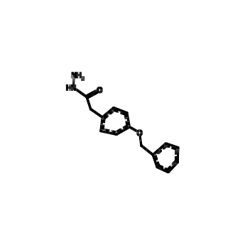 NNC(=O)Cc1ccc(OCc2ccccc2)cc1